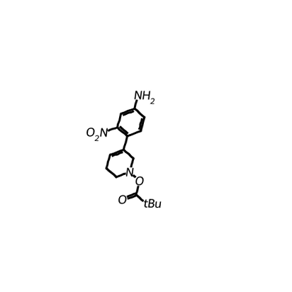 CC(C)(C)C(=O)ON1CCC=C(c2ccc(N)cc2[N+](=O)[O-])C1